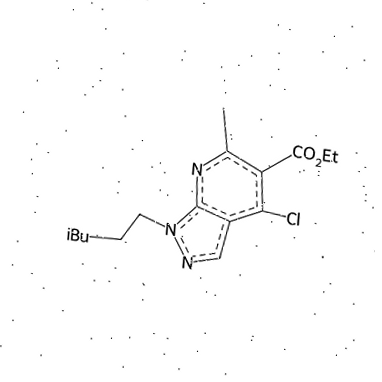 CCOC(=O)c1c(C)nc2c(cnn2CCC(C)CC)c1Cl